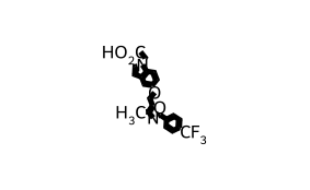 Cc1nc(-c2ccc(C(F)(F)F)cc2)oc1COc1ccc2c(ccn2CC(=O)O)c1